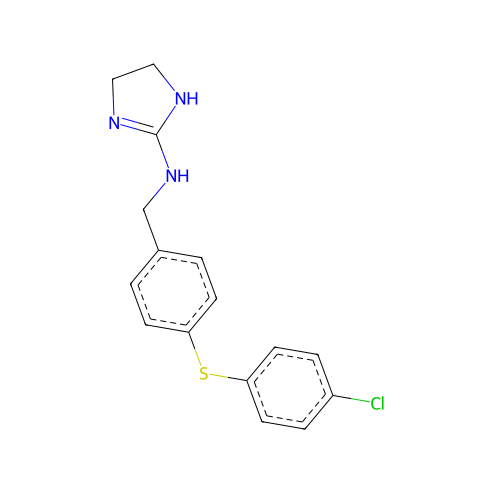 Clc1ccc(Sc2ccc(CNC3=NCCN3)cc2)cc1